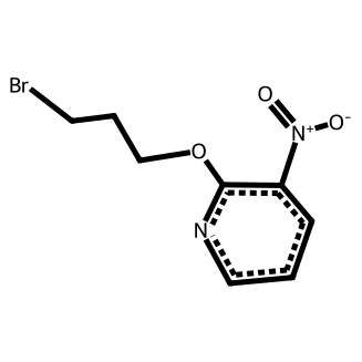 O=[N+]([O-])c1cccnc1OCCCBr